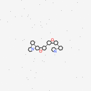 c1ccc(-c2ccccc2-c2ccc3oc4ccc(-c5ccc6oc7ccc(-c8ccccc8-c8ccccn8)cc7c6c5)cc4c3c2)nc1